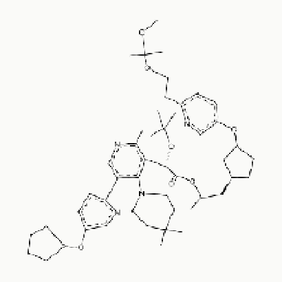 COC(C)(C)OCCc1ccc(OC2CC[C@@H](CC(C)OC(=O)[C@@H](OC(C)(C)C)c3c(C)ncc(-c4ccc(OC5CCCC5)cn4)c3N3CCC(C)(C)CC3)C2)cn1